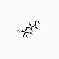 CN(C)[Si](C)(C)C[Si](C)(C)C